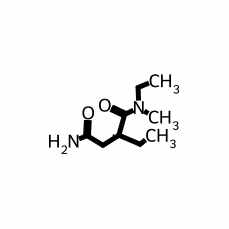 CC[C](CC(N)=O)C(=O)N(C)CC